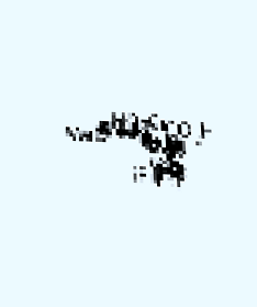 CCN(C(=O)c1cc(F)ccc1Oc1nncnc1N1CCC2(C1)CN([C@H](CCCNCC(C)(C)OC)C(C)C)C2)C(C)C.O=C(O)/C=C/C(=O)O